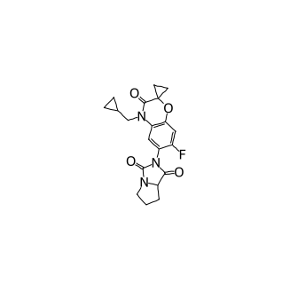 O=C1C2CCCN2C(=O)N1c1cc2c(cc1F)OC1(CC1)C(=O)N2CC1CC1